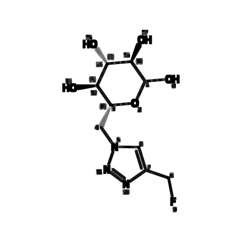 OC1O[C@H](Cn2cc(CF)nn2)[C@@H](O)[C@H](O)[C@H]1O